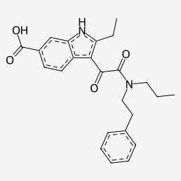 CCCN(CCc1ccccc1)C(=O)C(=O)c1c(CC)[nH]c2cc(C(=O)O)ccc12